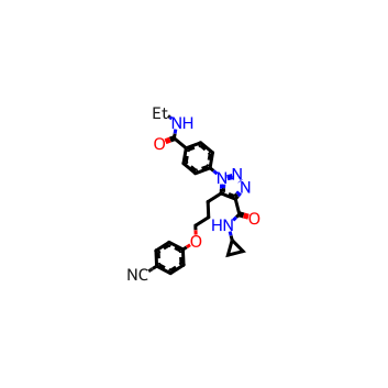 CCNC(=O)c1ccc(-n2nnc(C(=O)NC3CC3)c2CCCOc2ccc(C#N)cc2)cc1